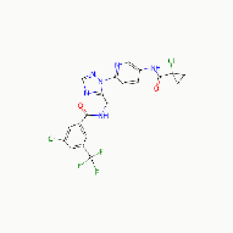 CC(NC(=O)c1cc(Cl)cc(C(F)(F)F)c1)c1ncnn1-c1ccc(NC(=O)C2(Cl)CC2)cn1